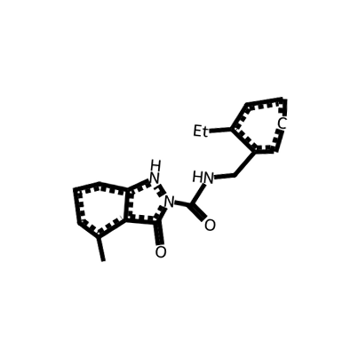 CCc1ccccc1CNC(=O)n1[nH]c2cccc(C)c2c1=O